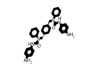 Nc1ccc(NC(=O)N(C[C@H]2CC[C@H](CN(C(=O)Nc3ccc(N)cc3)C3CCCCC3)CC2)C2CCCCC2)cc1